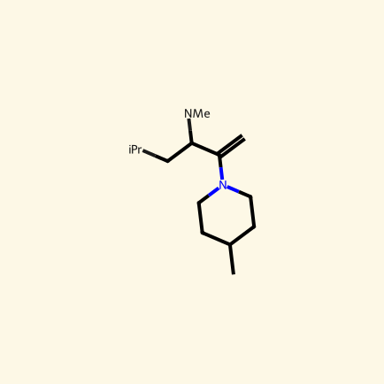 C=C(C(CC(C)C)NC)N1CCC(C)CC1